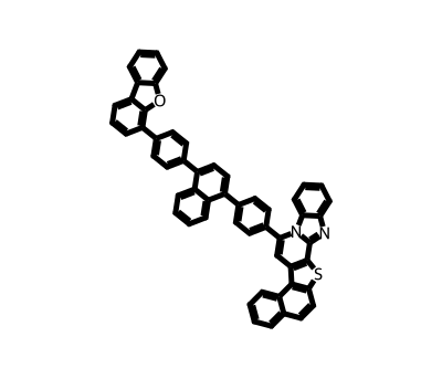 c1ccc2c(c1)ccc1sc3c(cc(-c4ccc(-c5ccc(-c6ccc(-c7cccc8c7oc7ccccc78)cc6)c6ccccc56)cc4)n4c5ccccc5nc34)c12